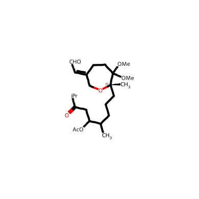 COC1(OC)CCC(=CC=O)CO[C@@]1(C)CCCC(C)C(CC(=O)C(C)C)OC(C)=O